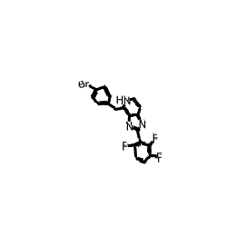 Fc1ccc(F)c(-c2nc3cc[nH]c(Cc4ccc(Br)cc4)c-3n2)c1F